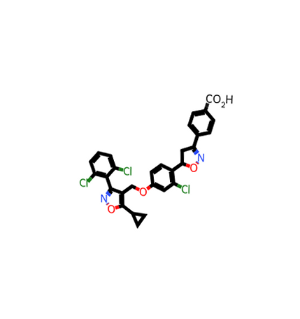 O=C(O)c1ccc(C2=NOC(c3ccc(OCc4c(-c5c(Cl)cccc5Cl)noc4C4CC4)cc3Cl)C2)cc1